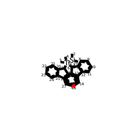 C[SiH](C)[Ti]([CH3])([CH3])([CH]1c2ccccc2-c2ccccc21)[CH]1c2ccccc2-c2ccccc21